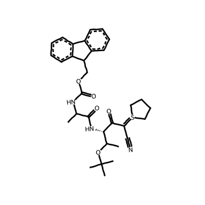 CC(NC(=O)OCC1c2ccccc2-c2ccccc21)C(=O)N[C@H](C(=O)C(C#N)=S1CCCC1)C(C)OC(C)(C)C